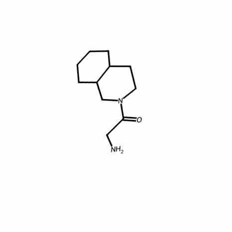 NCC(=O)N1CCC2CCCCC2C1